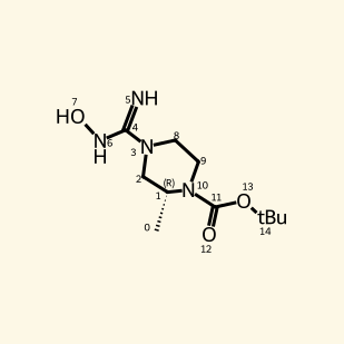 C[C@@H]1CN(C(=N)NO)CCN1C(=O)OC(C)(C)C